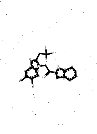 O=C(Cn1c(CC(F)(F)F)nc2cc(Cl)c(Cl)cc21)c1cc2ccccc2o1